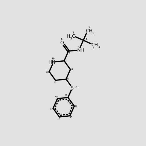 CC(C)(C)NC(=O)C1CC(Sc2ccccc2)CCN1